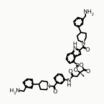 C[C@@]1(CC(=O)Nc2cccc(C(=O)N3CCC(c4cccc(CN)c4)CC3)c2)OB(c2cccc3[nH]c(C(=O)N4CCC(c5cccc(CN)c5)CC4)cc23)OC1=O